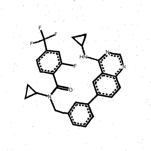 O=C(c1ccc(C(F)(F)F)cc1F)N(Cc1cccc(-c2ccc3ncnc(NC4CC4)c3c2)c1)C1CC1